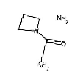 N.NC(=O)N1CCC1